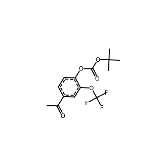 CC(=O)c1ccc(OC(=O)OC(C)(C)C)c(OC(F)(F)F)c1